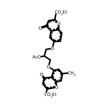 CCOC(=O)c1cc(=O)c2cc(OCC(COc3cc(C)cc4oc(C(=O)OCC)cc(=O)c34)OC(C)=O)ccc2o1